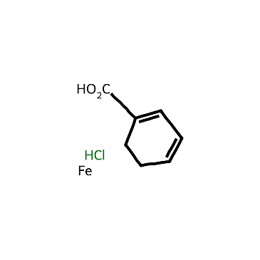 Cl.O=C(O)C1=CC=CCC1.[Fe]